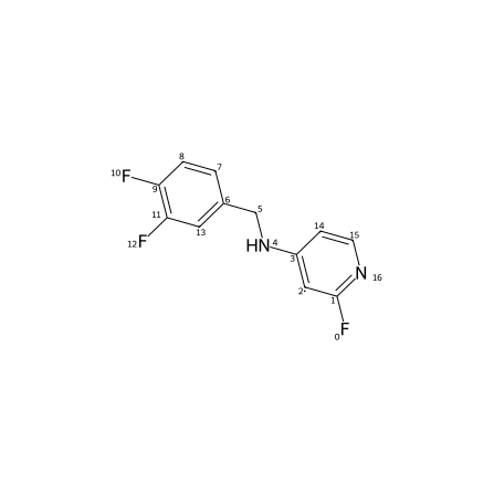 Fc1[c]c(NCc2ccc(F)c(F)c2)ccn1